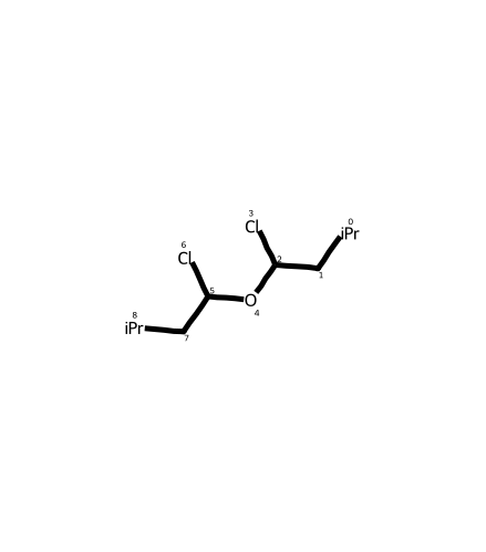 CC(C)CC(Cl)OC(Cl)CC(C)C